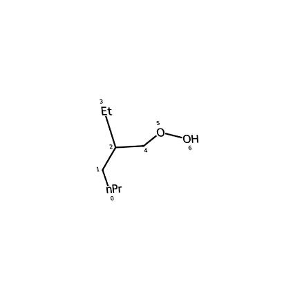 CCCCC(CC)COO